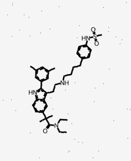 CCN(CC)C(=O)C(C)(C)c1ccc2[nH]c(-c3cc(C)cc(C)c3)c(CCNCCCCc3ccc(NS(C)(=O)=O)cc3)c2c1